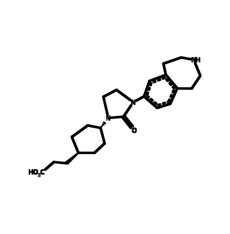 O=C(O)CC[C@H]1CC[C@H](N2CCN(c3ccc4c(c3)CCNCC4)C2=O)CC1